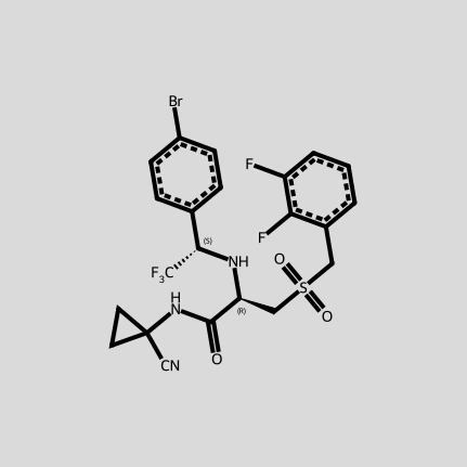 N#CC1(NC(=O)[C@H](CS(=O)(=O)Cc2cccc(F)c2F)N[C@@H](c2ccc(Br)cc2)C(F)(F)F)CC1